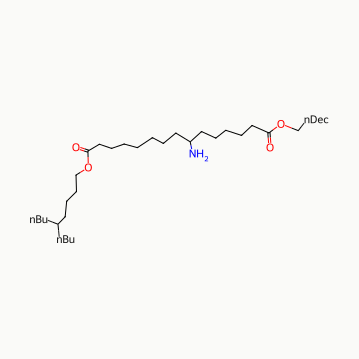 CCCCCCCCCCCOC(=O)CCCCCC(N)CCCCCCCC(=O)OCCCCC(CCCC)CCCC